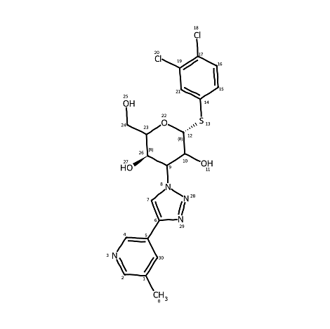 Cc1cncc(-c2cn(C3C(O)[C@@H](Sc4ccc(Cl)c(Cl)c4)OC(CO)[C@@H]3O)nn2)c1